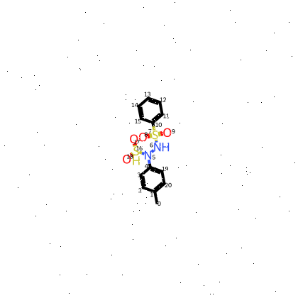 Cc1ccc(N(NS(=O)(=O)c2ccccc2)[SH](=O)=O)cc1